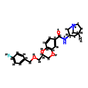 O=C(N[C@@H]1C[C@H]2CCN(C2)C1)c1ccc2c(c1)OC[C@@H](COCc1ccc(F)cc1)O2